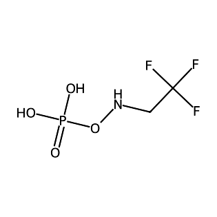 O=P(O)(O)ONCC(F)(F)F